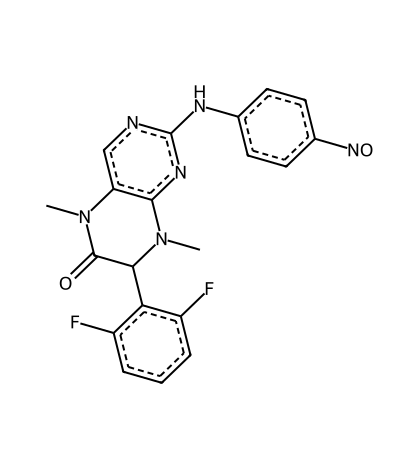 CN1C(=O)C(c2c(F)cccc2F)N(C)c2nc(Nc3ccc(N=O)cc3)ncc21